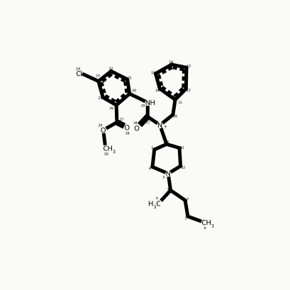 CCCC(C)N1CCC(N(Cc2ccccc2)C(=O)Nc2ccc(Cl)cc2C(=O)OC)CC1